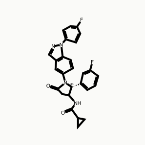 O=C(NC1CC(=O)N(c2ccc3c(cnn3-c3ccc(F)cc3)c2)[C@@H]1c1cccc(F)c1)C1CC1